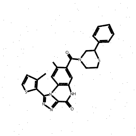 Cc1cc2c(cc1C(=O)N1CCSC(c3ccccc3)C1)[nH]c(=O)c1nnc(-c3sccc3C)n12